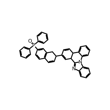 O=P(c1ccccc1)(c1ccccc1)c1ccc2c(c1)CC(C1=CC3c4nc5ccccc5n4-c4ccccc4C3C=C1)C=C2